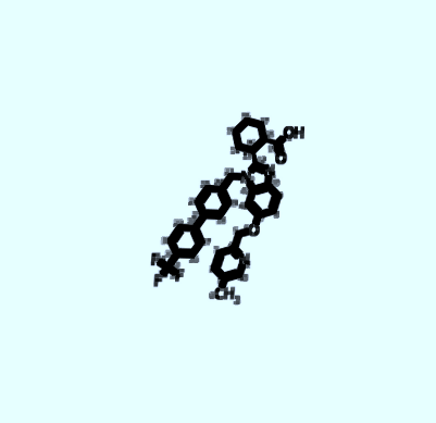 Cc1ccc(COc2ccc3nc([C@H]4CCCC[C@H]4C(=O)O)n(Cc4ccc(-c5ccc(C(F)(F)F)cc5)cc4)c3c2)nc1